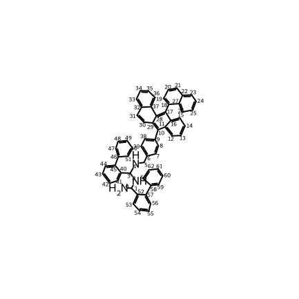 NC(NC(NCc1ccc(-c2c3ccccc3c(-c3cccc4ccccc34)c3c2ccc2ccccc23)cc1)c1ccccc1-c1ccccc1)c1ccccc1-c1ccccc1